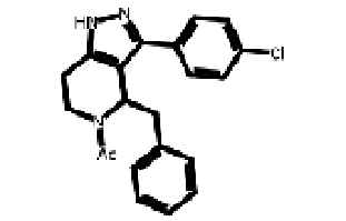 CC(=O)N1CCc2[nH]nc(-c3ccc(Cl)cc3)c2C1Cc1ccccc1